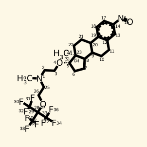 CN(CCO[C@H]1CCC2C3CCc4cc(N=O)ccc4C3CC[C@@]21C)CCOC(C(F)(F)F)(C(F)(F)F)C(F)(F)F